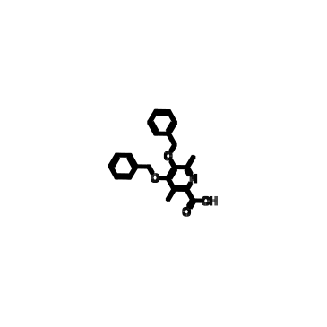 Cc1nc(C(=O)O)c(C)c(OCc2ccccc2)c1OCc1ccccc1